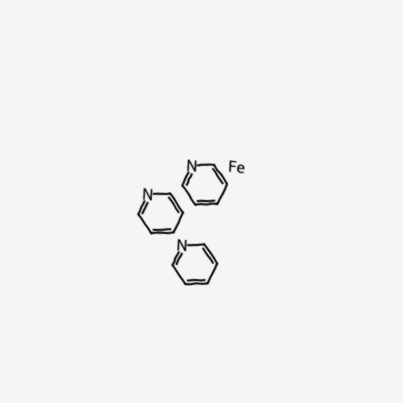 [Fe].c1ccncc1.c1ccncc1.c1ccncc1